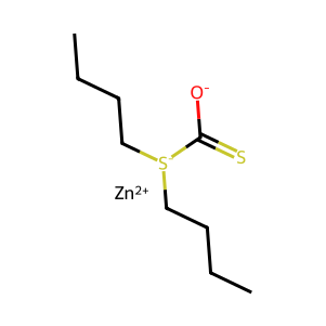 CCCC[S-](CCCC)C([O-])=S.[Zn+2]